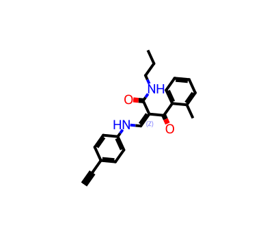 C#Cc1ccc(N/C=C(\C(=O)NCCC)C(=O)c2ccccc2C)cc1